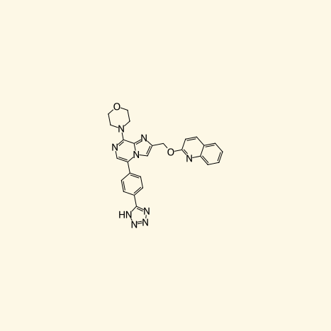 c1ccc2nc(OCc3cn4c(-c5ccc(-c6nnn[nH]6)cc5)cnc(N5CCOCC5)c4n3)ccc2c1